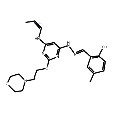 C/C=C\Nc1cc(N/N=C/c2cc(C)ccc2O)nc(OCCN2CCOCC2)n1